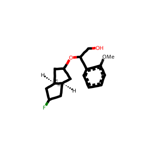 COc1ccccc1C(CO)OC1C[C@H]2CC(F)C[C@H]2C1